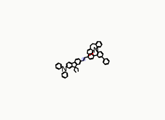 CCC1(CC)c2cc(/C=C/c3ccc(-c4cc(-c5ccccc5)ccc4N4C5=CCCC=C5CCc5ccccc54)cc3)ccc2-c2ccc(N(c3ccccc3)c3ccccc3)cc21